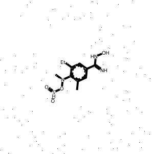 CCc1cc(C(=N)NO)cc(C)c1N(C)O[SH](=O)=O